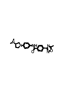 Cc1nc(-c2ccc(C(=O)Nc3ccc(N4CCC(N(C)C)C4)cc3)cc2)no1